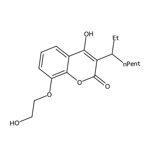 CCCCCC(CC)c1c(O)c2cccc(OCCO)c2oc1=O